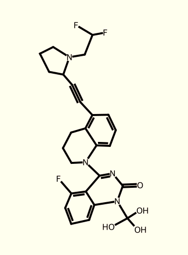 O=c1nc(N2CCCc3c(C#CC4CCCN4CC(F)F)cccc32)c2c(F)cccc2n1C(O)(O)O